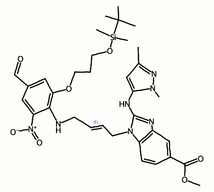 COC(=O)c1ccc2c(c1)nc(Nc1cc(C)nn1C)n2C/C=C/CNc1c(OCCCO[Si](C)(C)C(C)(C)C)cc(C=O)cc1[N+](=O)[O-]